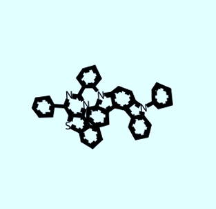 c1ccc(-c2nc(-c3ccccc3-n3c4ccccc4c4c5c6ccccc6n(-c6ccccc6)c5ccc43)nc3c2sc2ccccc23)cc1